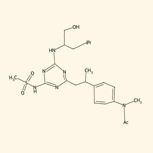 CC(=O)N(C)c1ccc(C(C)Cc2nc(NC(CO)CC(C)C)nc(NS(C)(=O)=O)n2)cc1